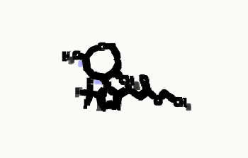 C=C1CCCCC/C(C)=C\C=C/1n1c(SCC(=O)OCC)nnc1C(F)(F)F